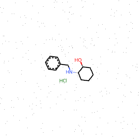 Cl.O[C@H]1CCCC[C@@H]1NCc1ccccc1